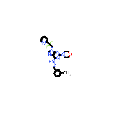 Cc1cccc(C=NNc2nc(N3CCOCC3)nc3c2ncn3CC(F)(F)c2ccccn2)c1